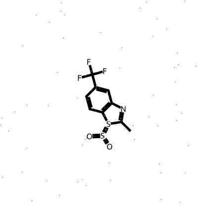 CC1=Nc2cc(C(F)(F)F)ccc2S1=S(=O)=O